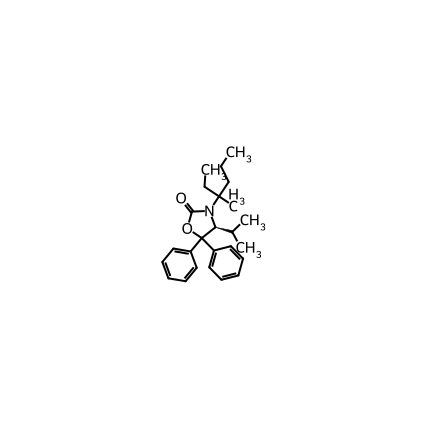 CCCC(C)(CC)N1C(=O)OC(c2ccccc2)(c2ccccc2)[C@@H]1C(C)C